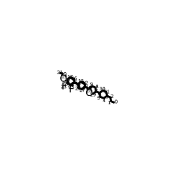 CCCC1CCC(C2CC=C(c3ccc(-c4ccc(OCC)c(F)c4F)cc3)OC2)CC1